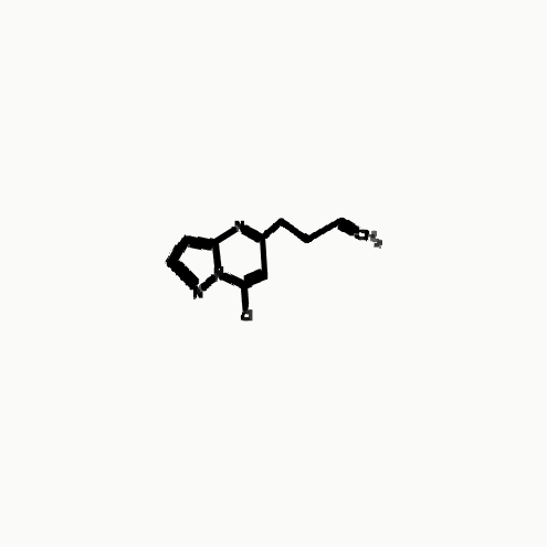 C=CCCc1cc(Cl)n2nccc2n1